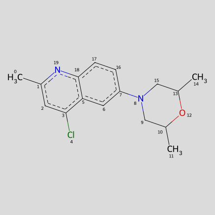 Cc1cc(Cl)c2cc(N3CC(C)OC(C)C3)ccc2n1